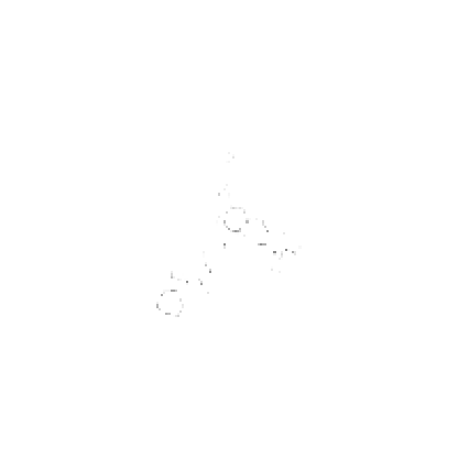 COCCOc1cc(C=C2SC(=O)NC2=O)nc(N2CCN(C(=O)Nc3ccccc3)CC2)n1